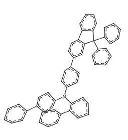 c1ccc(-c2ccc(N(c3ccc(-c4ccc5c(c4)C(c4ccccc4)(c4ccccc4)c4ccccc4-5)cc3)c3ccccc3-c3ccccc3)cc2)cc1